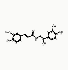 COc1cc(/C=C/C(=O)NCC(O)c2ccc(O)c(O)c2)ccc1O